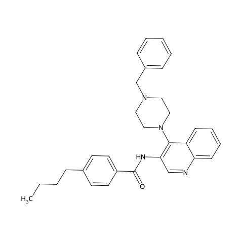 CCCCc1ccc(C(=O)Nc2cnc3ccccc3c2N2CCN(Cc3ccccc3)CC2)cc1